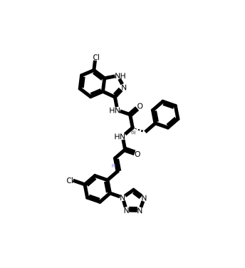 O=C(/C=C/c1cc(Cl)ccc1-n1cnnn1)N[C@@H](Cc1ccccc1)C(=O)Nc1n[nH]c2c(Cl)cccc12